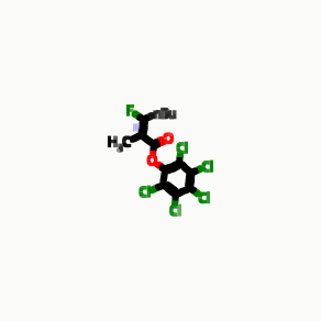 CCCC/C(F)=C(/C)C(=O)Oc1c(Cl)c(Cl)c(Cl)c(Cl)c1Cl